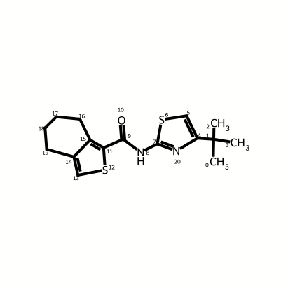 CC(C)(C)c1csc(NC(=O)c2scc3c2CCCC3)n1